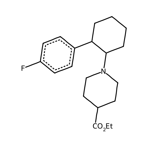 CCOC(=O)C1CCN(C2CCCCC2c2ccc(F)cc2)CC1